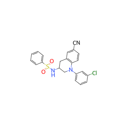 N#Cc1ccc2c(c1)CC(NS(=O)(=O)c1ccccc1)CN2c1cccc(Cl)c1